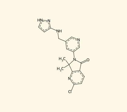 CC1(C)c2nc(Cl)ccc2C(=O)N1c1cncc(CNc2cc[nH]n2)c1